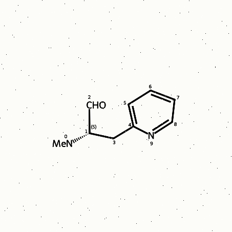 CN[C@H](C=O)Cc1ccccn1